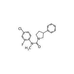 CN(C(=O)N1CCC(c2ccccc2)C1)c1ccc(Cl)cc1F